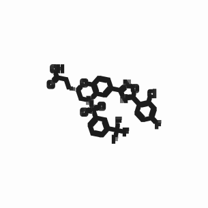 O=C(O)CC[C@H]1CN(S(=O)(=O)c2cccc(C(F)(F)F)c2)c2cc(-c3noc(-c4ccc(F)cc4Cl)n3)ccc2O1